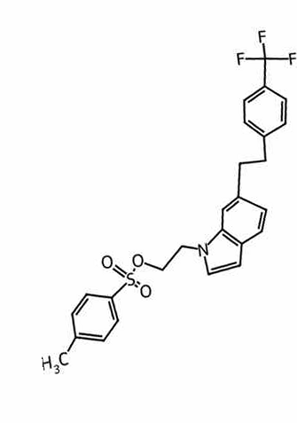 Cc1ccc(S(=O)(=O)OCCn2ccc3ccc(CCc4ccc(C(F)(F)F)cc4)cc32)cc1